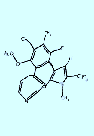 CC(=O)OOc1c(Cl)c(C)c(F)c(-c2c(Cl)c(C(F)(F)F)n(C)c2Cl)c1-c1ccncc1